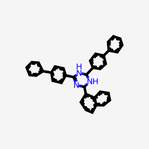 c1ccc(-c2ccc(C3=NC(c4cccc5ccccc45)NC(c4ccc(-c5ccccc5)cc4)N3)cc2)cc1